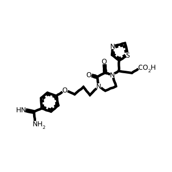 N=C(N)c1ccc(OCCCN2CCN(C(CC(=O)O)c3cncs3)C(=O)C2=O)cc1